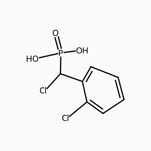 O=P(O)(O)C(Cl)c1ccccc1Cl